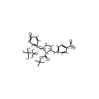 CC(C)(C)OC(=O)N1[C@H](Cc2ccc([N+](=O)[O-])cc2)CC[C@@H]1[C@H](O[Si](C)(C)C(C)(C)C)c1ccc(Cl)nc1